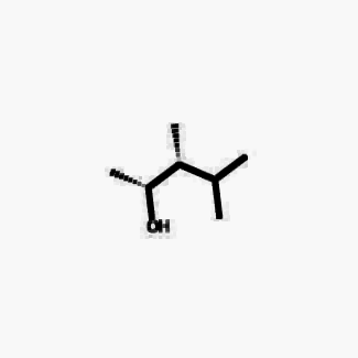 CC(C)[C@@H](C)[C@@H](C)O